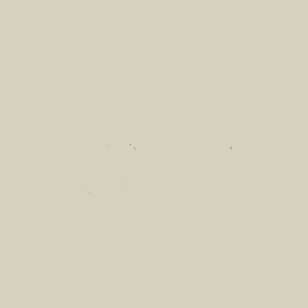 COc1cc(CO)ccc1CN1C(=O)c2c(Cl)nc(Cl)c(F)c2C1(C)C